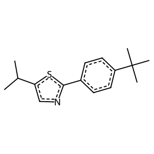 CC(C)c1cnc(-c2ccc(C(C)(C)C)cc2)s1